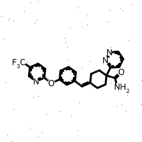 NC(=O)C1(c2cccnn2)CCC(=Cc2cccc(Oc3ccc(C(F)(F)F)cn3)c2)CC1